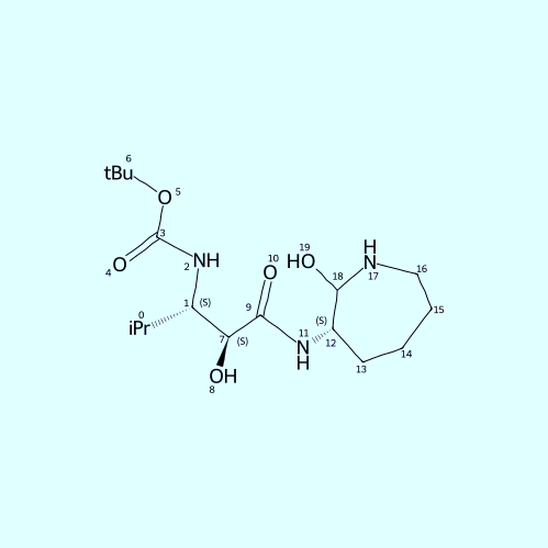 CC(C)[C@H](NC(=O)OC(C)(C)C)[C@H](O)C(=O)N[C@H]1CCCCNC1O